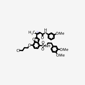 COc1cccc(NC(=O)/C=C(/C)c2cc3c(S(=O)(=O)NCCc4ccc(OC)c(OC)c4)ccc(OCCCCl)c3o2)c1